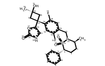 C[C@H]1CC[C@H](c2ccccc2)S(=O)(=O)N1Cc1cc(F)c([C@]2(c3c[nH]c(=O)o3)C[C@](C)(O)C2)cc1F